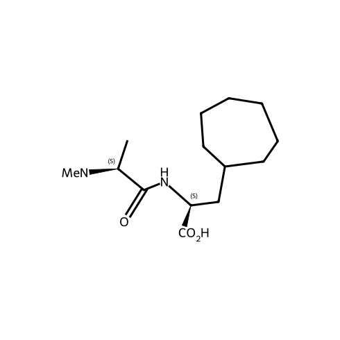 CN[C@@H](C)C(=O)N[C@@H](CC1CCCCCC1)C(=O)O